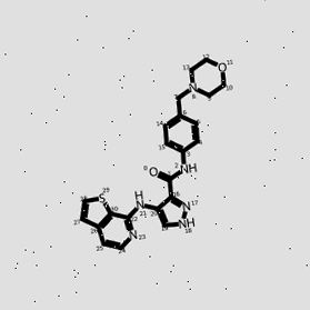 O=C(Nc1ccc(CN2CCOCC2)cc1)c1n[nH]cc1Nc1nccc2ccsc12